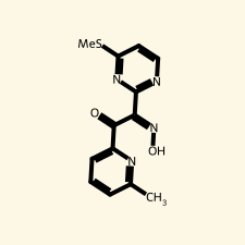 CSc1ccnc(C(=NO)C(=O)c2cccc(C)n2)n1